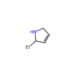 CCC1[C]=[C]CN1